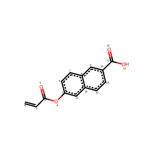 C=CC(=O)Oc1ccc2cc(C(=O)O)ccc2c1